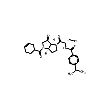 CC(C)C[C@H](NC(=O)c1ccc(N(C)C)cc1)C(=O)N1CC[C@@H]2[C@H]1C(=O)CN2C(=O)C1CC=CCC1